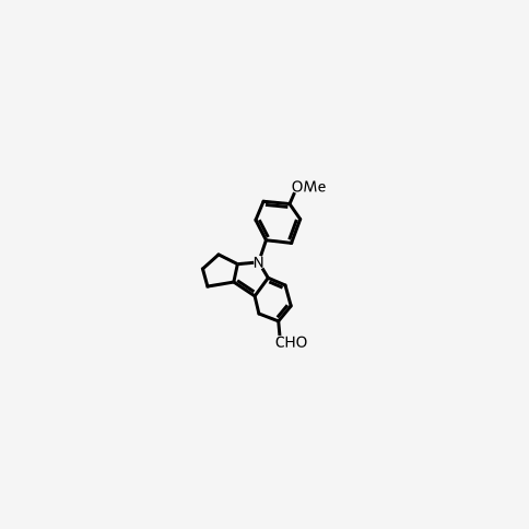 COc1ccc(N2C3=CC=C(C=O)CC3=C3CCCC32)cc1